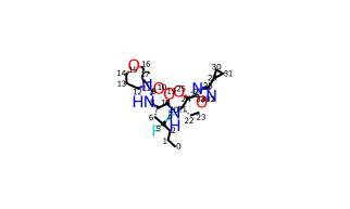 CCCC(F)(F)C[C@H](NC(=O)N1CCCOCC1)C(=O)N[C@@H](CC)C(=O)c1nc(C2CC2)no1